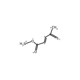 CC(=S)C=CC(=O)O[SiH3]